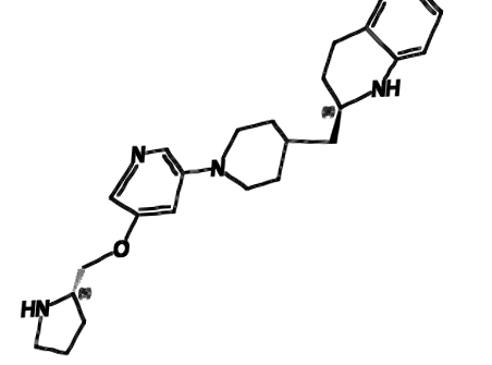 c1ccc2c(c1)CC[C@H](CC1CCN(c3cncc(OC[C@@H]4CCCN4)c3)CC1)N2